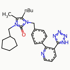 CCCCc1c(C)n(CC2CCCCC2)c(=O)n1Cc1ccc(-c2ncccc2-c2nnn[nH]2)cc1